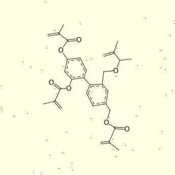 C=C(C)C(=O)OCc1ccc(-c2ccc(OC(=O)C(=C)C)cc2OC(=O)C(=C)C)c(COC(C)C(=C)C)c1